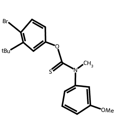 COc1cccc(N(C)C(=S)Oc2ccc(Br)c(C(C)(C)C)c2)c1